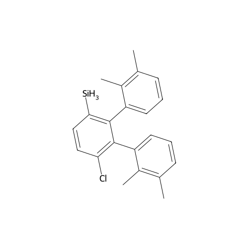 Cc1cccc(-c2c([SiH3])ccc(Cl)c2-c2cccc(C)c2C)c1C